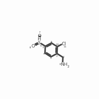 NCc1ccc([SH](=O)=O)cc1Cl